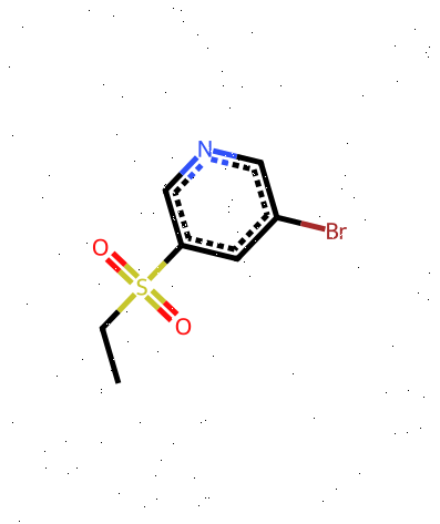 CCS(=O)(=O)c1cncc(Br)c1